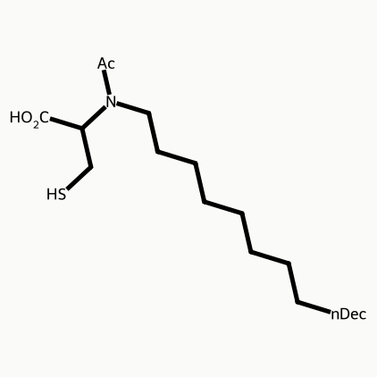 CCCCCCCCCCCCCCCCCCN(C(C)=O)C(CS)C(=O)O